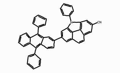 N#Cc1cc2ccc3cc(-c4ccc5c(-c6ccccc6)c6ccccc6c(-c6ccccc6)c5c4)cc4c3c2c(c1)n4-c1ccccc1